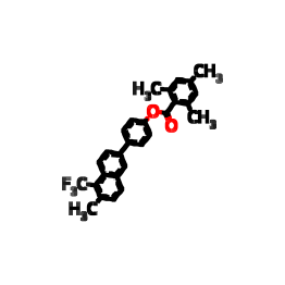 Cc1cc(C)c(C(=O)Oc2ccc(-c3ccc4c(C(F)(F)F)c(C)ccc4c3)cc2)c(C)c1